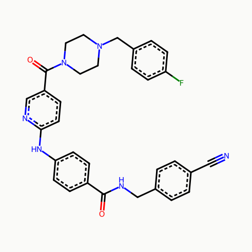 N#Cc1ccc(CNC(=O)c2ccc(Nc3ccc(C(=O)N4CCN(Cc5ccc(F)cc5)CC4)cn3)cc2)cc1